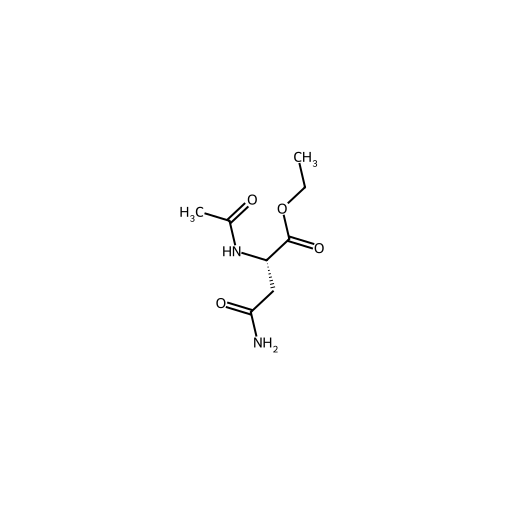 CCOC(=O)[C@H](CC(N)=O)NC(C)=O